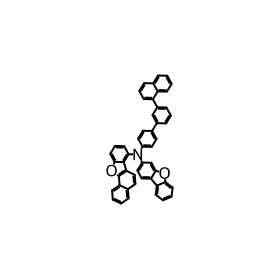 c1cc(-c2ccc(N(c3ccc4c(c3)oc3ccccc34)c3cccc4oc5c6ccccc6ccc5c34)cc2)cc(-c2cccc3ccccc23)c1